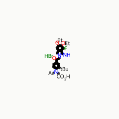 Br.CCOc1cc2c(c(F)c1OCC)C(=N)N(CC(=O)c1ccc(N(CC(=O)O)C(C)=O)c(C(C)(C)C)c1)C2